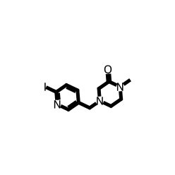 CN1CCN(Cc2ccc(I)nc2)CC1=O